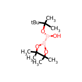 CC(C)(C)C(C)(C)OB(O)B1OC(C)(C)C(C)(C)O1